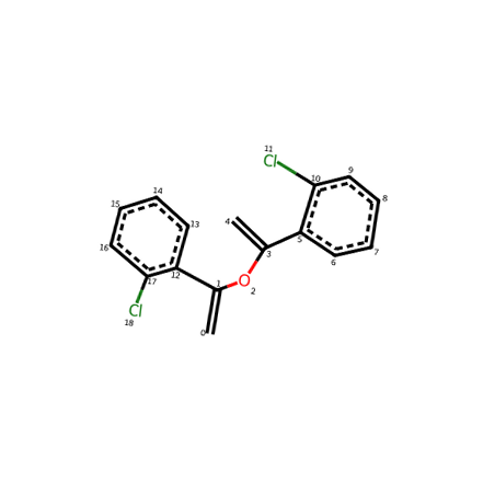 C=C(OC(=C)c1ccccc1Cl)c1ccccc1Cl